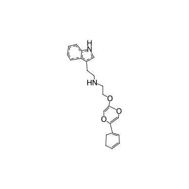 C1=CCCC(C2=COC(OCCNCCc3c[nH]c4ccccc34)=CO2)=C1